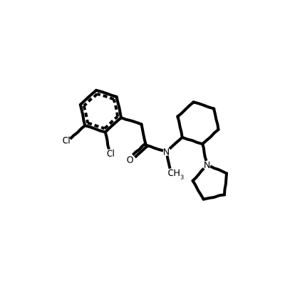 CN(C(=O)Cc1cccc(Cl)c1Cl)C1CCCCC1N1CCCC1